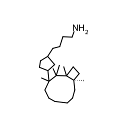 CC1(C2CCC(CCCCN)C2)CCCCCC[C@]2(C)CCC2(C)C1(C)C